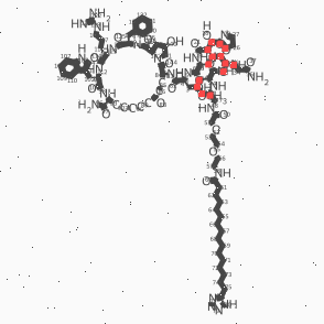 CCCC[C@H](NC(=O)[C@H](CN(CC(=O)O)CC(=O)O)NC(=O)[C@H](CC1=CCC=N1)NC(=O)[C@H](CCC(N)=O)NC(=O)[C@H](CO)NC(=O)CNC(=O)COCCOCCNC(=O)CCCCCCCCCCCCCCCc1nnn[nH]1)C(=O)N[C@H]1CCC(=O)CCCCC[C@@H](C(N)=O)NC(=O)[C@H](Cc2c[nH]c3ccccc23)NC(=O)[C@H](CCCNC(=N)N)NC(=O)[C@@H](Cc2ccccc2)NC(=O)[C@@H]2C[C@@H](O)CN2C1=O